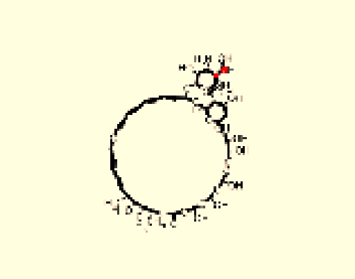 C[C@@H]1[C@H](O)[C@@H](C)/C=C/C=C/CC/C=C/C=C/C=C/C=C/[C@H](O[C@@H]2O[C@H](C)[C@@H](O)[C@H](N)[C@@H]2O)C[C@@H]2O[C@](O)(C[C@@H](O)[C@H](O)CC[C@@H](O)C[C@@H](O)C[C@@H](O)CC(=O)O[C@H]1C)C[C@H](O)[C@H]2C(=O)NCCO